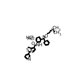 CN(C)CCCO/N=C(\c1ccccc1)c1cccc(NC(=O)c2ccn3c2CSC3c2cccnc2)c1.Cl.Cl